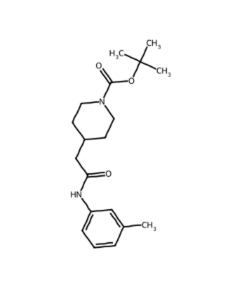 Cc1cccc(NC(=O)CC2CCN(C(=O)OC(C)(C)C)CC2)c1